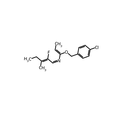 C/C=C(/N=C\C(F)=C(/C)CC)OCc1ccc(Cl)cc1